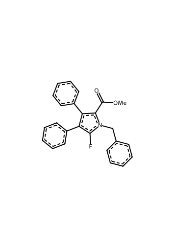 COC(=O)c1c(-c2ccccc2)c(-c2ccccc2)c(F)n1Cc1ccccc1